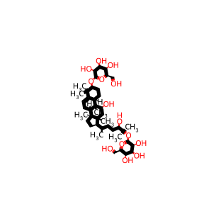 C[C@H](CC[C@@H](O)C(C)(C)O[C@@H]1O[C@H](CO)[C@@H](O)[C@H](O)[C@H]1O)[C@H]1CC[C@@]2(C)[C@@H]3CC=C4[C@@H](CC[C@H](O[C@@H]5O[C@H](CO)[C@@H](O)[C@H](O)[C@H]5O)C4(C)C)[C@]3(C)[C@H](O)C[C@]12C